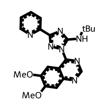 COc1cc2ncnc(-n3nc(-c4ccccn4)nc3NC(C)(C)C)c2cc1OC